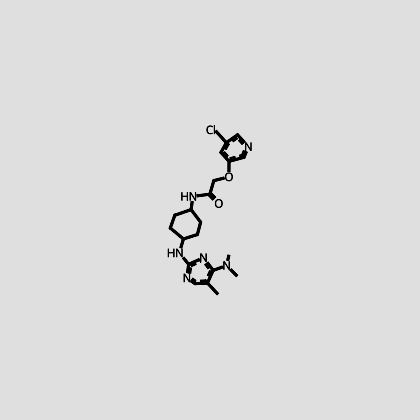 Cc1cnc(NC2CCC(NC(=O)COc3cncc(Cl)c3)CC2)nc1N(C)C